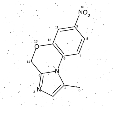 Cc1cnc2n1-c1ccc([N+](=O)[O-])cc1OC2